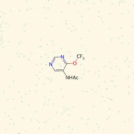 CC(=O)Nc1cncnc1OC(F)(F)F